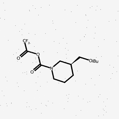 CC(C)COC[C@H]1CCCN(C(=O)OC(=O)C(F)(F)F)C1